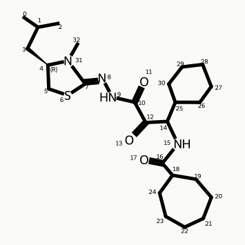 CC(C)C[C@@H]1CSC(=NNC(=O)C(=O)C(NC(=O)C2CCCCCC2)C2CCCCC2)N1C